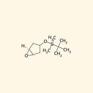 CC(C)(C)[Si](C)(C)OC1CC2O[C@H]2C1